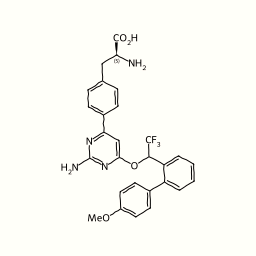 COc1ccc(-c2ccccc2C(Oc2cc(-c3ccc(C[C@H](N)C(=O)O)cc3)nc(N)n2)C(F)(F)F)cc1